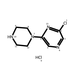 Cl.Clc1cncc(N2CCNCC2)n1